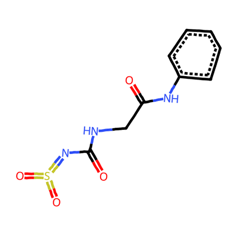 O=C(CNC(=O)N=S(=O)=O)Nc1ccccc1